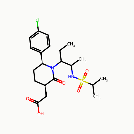 CCC(C(C)NS(=O)(=O)C(C)C)N1C(=O)[C@@H](CC(=O)O)CC[C@H]1c1ccc(Cl)cc1